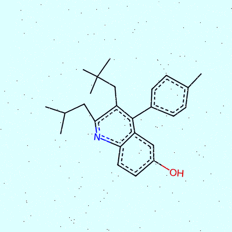 Cc1ccc(-c2c(CC(C)(C)C)c(CC(C)C)nc3ccc(O)cc23)cc1